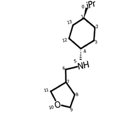 CC(C)[C@H]1CC[C@H](NCC2CCOC2)CC1